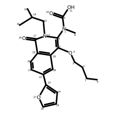 CCCCOc1c(N(C)C(=O)O)n(CC(C)C)c(=O)c2ccc(-c3ccco3)cc12